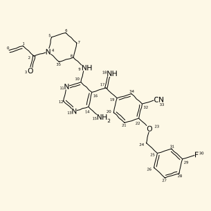 C=CC(=O)N1CCCC(Nc2ncnc(N)c2C(=N)c2ccc(OCc3cccc(F)c3)c(C#N)c2)C1